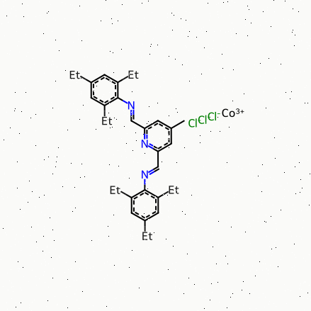 CCc1cc(CC)c(N=Cc2cc(C)cc(C=Nc3c(CC)cc(CC)cc3CC)n2)c(CC)c1.[Cl-].[Cl-].[Cl-].[Co+3]